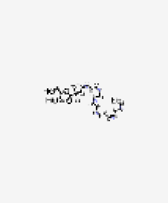 CC/C=C\C/C=C\C/C=C\C/C=C\C/C=C\C/C=C\CC(C)(C)C(=O)OC(CO)CO